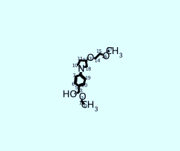 CCOC(O)c1ccc(N2CC[C@@H](OCCOC)C2)cc1